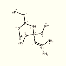 CCCOP(N[PH](N=[PH](N)N)(OCCC)OCCC)OCCC